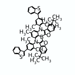 Cc1cc2c3c(c1)N(c1c(C)cc(-c4csc5ccccc45)cc1C)c1c(oc4ccc(C(C)(C)C)cc14)B3c1oc3ccc(C(C)(C)C)cc3c1N2c1c(C)cc(-c2csc3ccccc23)cc1C